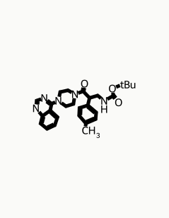 Cc1ccc(C(CNC(=O)OC(C)(C)C)C(=O)N2CCN(c3ncnc4ccccc34)CC2)cc1